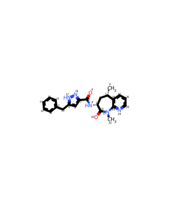 C[C@H]1C[C@@H](NC(=O)c2cc(Cc3ccccc3)[nH]n2)C(=O)N(C)c2ncccc21